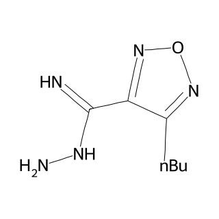 CCCCc1nonc1C(=N)NN